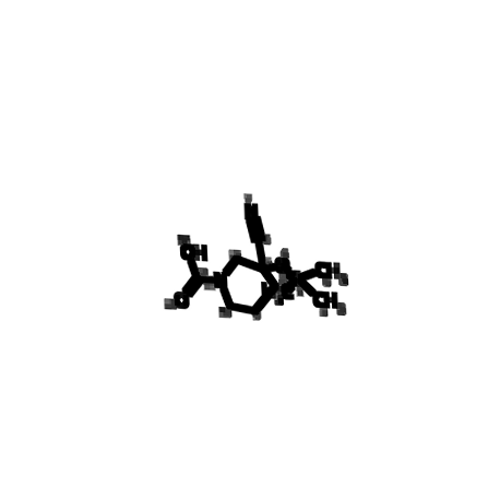 C[Si](C)(C)OC1(C#N)CCCN(C(=O)O)C1